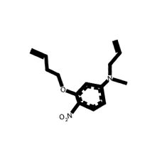 C=CCCOc1cc(N(C)CC=C)ccc1[N+](=O)[O-]